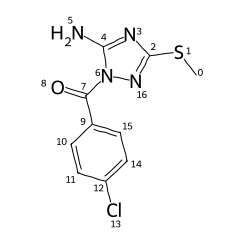 CSc1nc(N)n(C(=O)c2ccc(Cl)cc2)n1